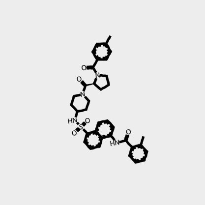 Cc1ccc(C(=O)N2CCC[C@H]2C(=O)N2CCC(NS(=O)(=O)c3cccc4c(NC(=O)c5ccccc5C)cccc34)CC2)cc1